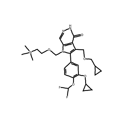 C[Si](C)(C)CCOCn1c(-c2ccc(OC(F)F)c(OC3CC3)c2)c(COCC2CC2)c2c(=O)[nH]ncc21